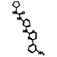 Nc1cccc(-c2ccnc(Nc3cccc(NC(=O)NC4CCCC4)c3)n2)c1